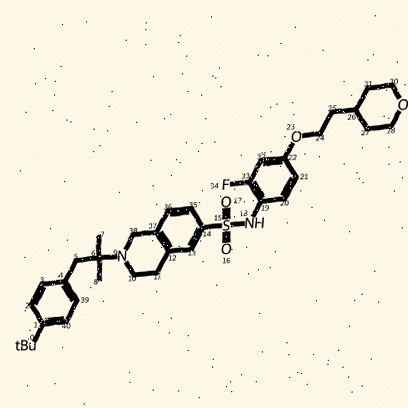 CC(C)(C)c1ccc(CC(C)(C)N2CCc3cc(S(=O)(=O)Nc4ccc(OCCC5CCOCC5)cc4F)ccc3C2)cc1